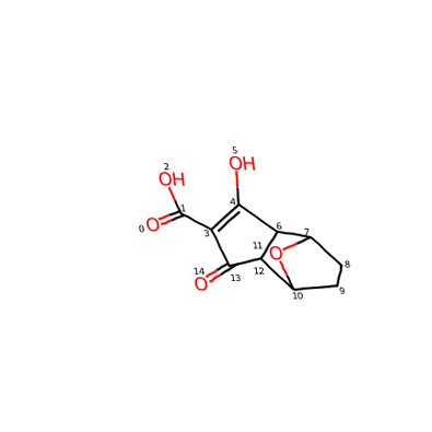 O=C(O)C1=C(O)C2C3CCC(O3)C2C1=O